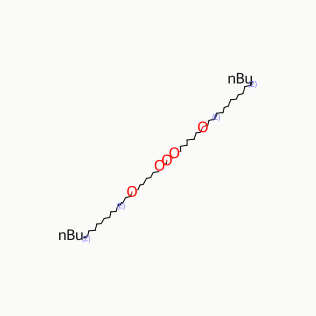 CCCC/C=C\CCCCCCCC/C=C/CCOCCCCCCCOCOCOCCCCCCCOCC/C=C/CCCCCCCC/C=C\CCCC